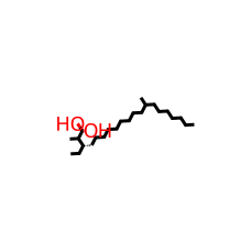 CCCCCCCC(C)CCCCCCCCC[C@H](CC)C(C)C(O)O